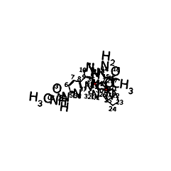 CNC(=O)Nc1ccc(-c2cnn3c(N)c(C(C)=O)c(C4CC5CCC(C4)N5C(=O)c4ncn[nH]4)nc23)cn1